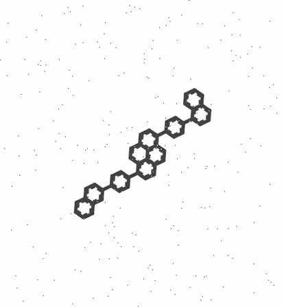 c1ccc2cc(-c3ccc(-c4ccc5ccc6c(-c7ccc(-c8cccc9ccccc89)cc7)ccc7ccc4c5c76)cc3)ccc2c1